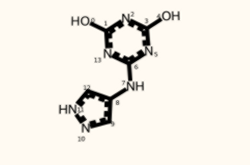 Oc1nc(O)nc(Nc2cn[nH]c2)n1